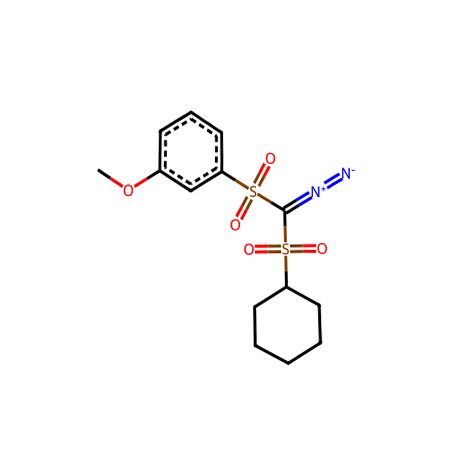 COc1cccc(S(=O)(=O)C(=[N+]=[N-])S(=O)(=O)C2CCCCC2)c1